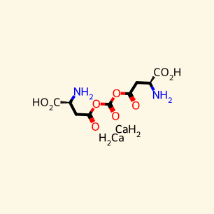 N[C@@H](CC(=O)OC(=O)OC(=O)C[C@H](N)C(=O)O)C(=O)O.[CaH2].[CaH2]